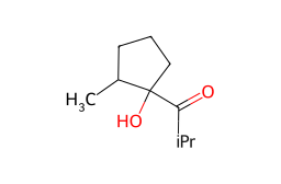 CC(C)C(=O)C1(O)CCCC1C